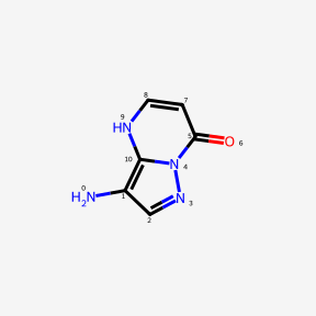 Nc1cnn2c(=O)cc[nH]c12